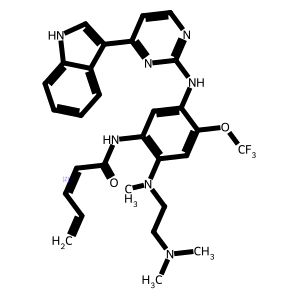 C=C/C=C\C(=O)Nc1cc(Nc2nccc(-c3c[nH]c4ccccc34)n2)c(OC(F)(F)F)cc1N(C)CCN(C)C